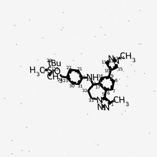 Cc1nnn2c1-c1ccc(-c3cnn(C)c3)cc1C(Nc1ccc(CO[Si](C)(C)C(C)(C)C)cc1)CC2